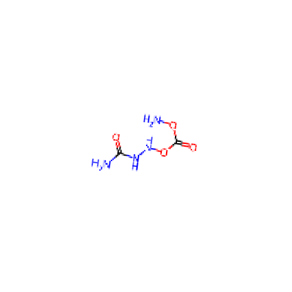 NOC(=O)ONNC(N)=O